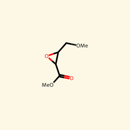 COCC1OC1C(=O)OC